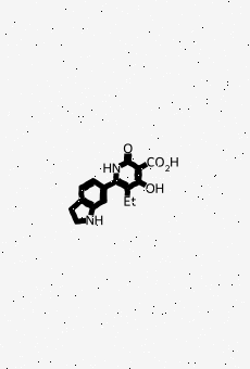 CCc1c(-c2ccc3c(c2)NCC3)[nH]c(=O)c(C(=O)O)c1O